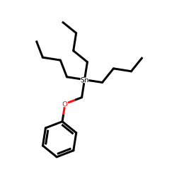 CCC[CH2][Sn]([CH2]CCC)([CH2]CCC)[CH2]Oc1ccccc1